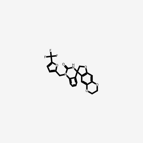 O=C1NC2(COc3cc4c(cc32)OCCO4)c2ccccc2N1Cc1ccc(C(F)(F)F)o1